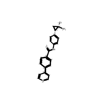 CC[C@@]1(N)C[C@H]1c1ccc(NC(=O)c2ccc(-c3ccncc3)cc2)cc1